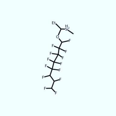 CCC(OC(F)C(F)(F)C(F)(F)C(F)(F)C(F)(F)C(F)C(F)C(F)F)[SiH2]C